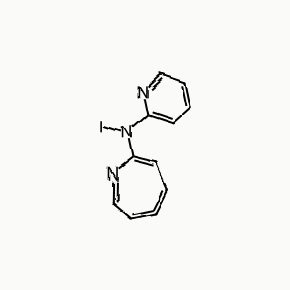 IN(C1=CC=C=CC=N1)c1ccccn1